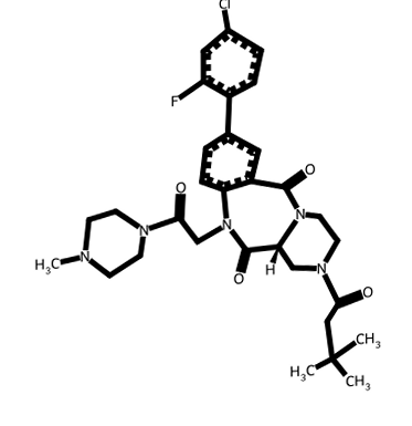 CN1CCN(C(=O)CN2C(=O)[C@H]3CN(C(=O)CC(C)(C)C)CCN3C(=O)c3cc(-c4ccc(Cl)cc4F)ccc32)CC1